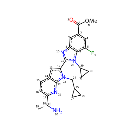 COC(=O)c1cc(F)c2c(c1)nc(-c1cc3ccc([C@@H](C)N)nc3n1CC1CC1)n2C1CC1